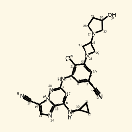 N#Cc1cc(Nc2nc(NC3CC3)c3ncc(C#N)n3n2)c(Cl)c(N2CC(N3CCC(O)C3)C2)c1